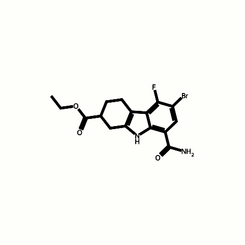 CCOC(=O)C1CCc2c([nH]c3c(C(N)=O)cc(Br)c(F)c23)C1